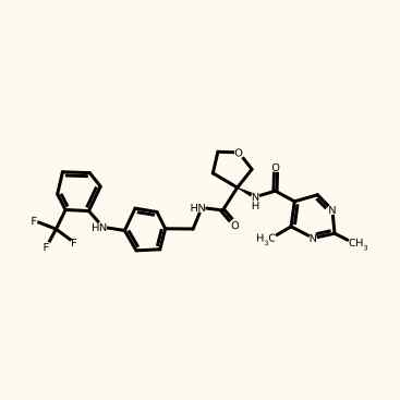 Cc1ncc(C(=O)N[C@@]2(C(=O)NCc3ccc(Nc4ccccc4C(F)(F)F)cc3)CCOC2)c(C)n1